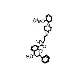 COc1ccccc1N1CCN(CCCNC(=O)c2cccc3c2OC(c2ccccc2)CC3O)CC1